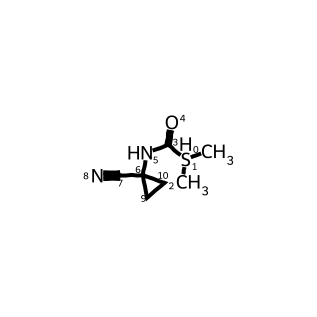 C[SH](C)C(=O)NC1(C#N)CC1